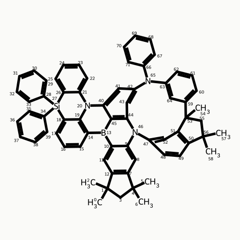 CC1(C)CC(C)(C)c2cc3c(cc21)B1c2cccc4c2N(c2ccccc2[Si]4(c2ccccc2)c2ccccc2)c2cc4cc(c21)N3c1ccc2c(c1)C(C)(CC2(C)C)c1cccc(c1)N4c1ccccc1